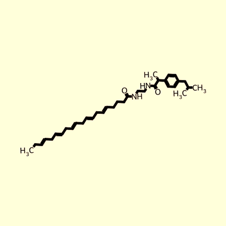 CCC=CCC=CCC=CCC=CCC=CCCCC(=O)NCCNC(=O)C(C)c1ccc(CC(C)C)cc1